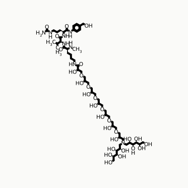 CN[C@@H](CCCCNC(=O)C(O)COCC(O)COCC(O)COCC(O)COCC(O)COCC(O)COCC(O)CN(C[C@H](O)[C@@H](O)[C@H](O)[C@H](O)CO)C[C@H](O)[C@@H](O)[C@H](O)[C@H](O)CO)C(=O)N[C@H](C(=O)N[C@@H](CCCNC(N)=O)C(=O)Nc1ccc(CO)cc1)C(C)C